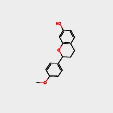 COc1ccc(C2CCc3ccc(O)cc3O2)cc1